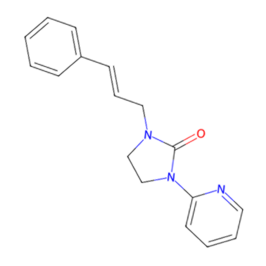 O=C1N(C/C=C/c2ccccc2)CCN1c1ccccn1